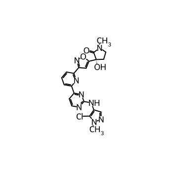 CN1CC[C@@](O)(c2cc(-c3cccc(-c4ccnc(Nc5cnn(C)c5Cl)n4)n3)no2)C1=O